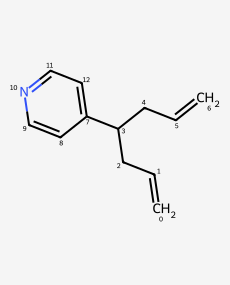 C=CCC(CC=C)c1ccncc1